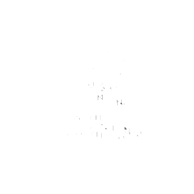 COC(=O)C(C)(C)Nc1c([N+](=O)[O-])cnc2c1ccn2S(=O)(=O)c1ccccc1